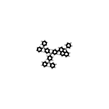 c1ccc(N(c2ccccc2)c2ccc(N(c3ccc(-c4ccc5c6c4ccc4cccc(c46)n5-c4ccccc4)cc3)c3ccc(N(c4ccccc4)c4ccccc4)cc3)cc2)cc1